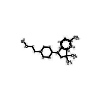 CCOCCN1CCC(N2CC(C)(C)c3nc(C)ccc32)CC1